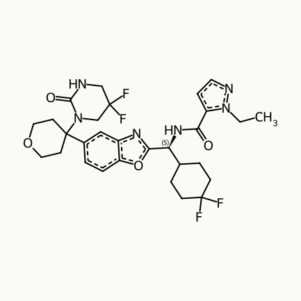 CCn1nccc1C(=O)N[C@H](c1nc2cc(C3(N4CC(F)(F)CNC4=O)CCOCC3)ccc2o1)C1CCC(F)(F)CC1